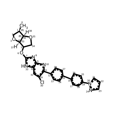 C[C@@H]1CO[C@@H]2C(Oc3nc4nc(-c5ccc(-c6ccc(-n7cccn7)cc6)cc5)c(Cl)cc4[nH]3)CO[C@H]12